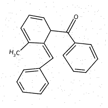 CC1=CC=CC(C(=O)c2ccccc2)C1=Cc1ccccc1